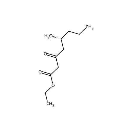 CCC[C@@H](C)CC(=O)CC(=O)OCC